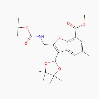 COC(=O)c1cc(C)cc2c(B3OC(C)(C)C(C)(C)O3)c(CNC(=O)OC(C)(C)C)oc12